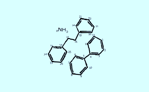 N.c1ccc(-c2ccccc2)cc1.c1ccc(CCc2ccccc2)cc1